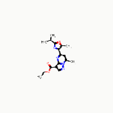 CCOC(=O)c1cnn2c(C)cc(-c3nc(C(C)C)oc3C)nc12